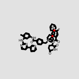 Cc1ccc(NC(=O)c2ccc(CN3CCC(CN4CC5CC(C4)N5c4cc5c(cc4F)C(=O)N(C4CCC(=O)NC4=O)C5=O)CC3)cc2)cc1Nc1nccc(-c2cccnc2)n1